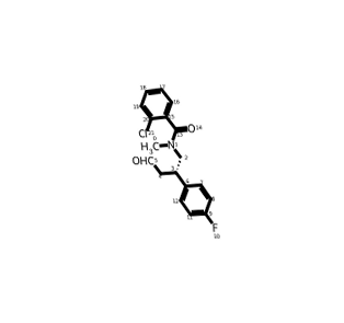 CN(C[C@@H](CC=O)c1ccc(F)cc1)C(=O)c1ccccc1Cl